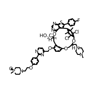 Cc1c(Cl)c2c(Cl)c(C)c1-c1c(-c3ccc(F)cc3)sc3ncnc(c13)O[C@@H](C(=O)O)Cc1cc(ccc1OCc1ccnc(-c3ccc(OCCN4CCP(C)(=O)CC4)cc3)n1)OC[C@@H](CN1CCN(C)CC1)O2